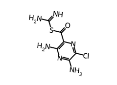 N=C(N)SC(=O)c1nc(Cl)c(N)nc1N